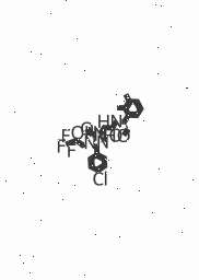 Cc1cccc([C@H](CO)NC(=O)Cn2nc(-c3ccc(Cl)cc3)n(C[C@H](O)C(F)(F)F)c2=O)c1C